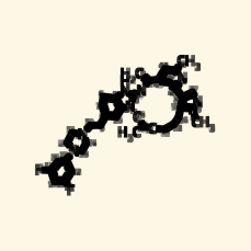 C=C1/N=C2\Nc3ccc(CCN4CCN(c5cc(F)cc(F)c5)CC4)cc3N2C[C@H](C)CCCCc2c(cnn2C)-c2cc1cc(C)n2